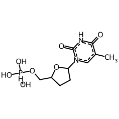 Cc1cn(C2CCC(CO[PH](O)(O)O)O2)c(=O)[nH]c1=O